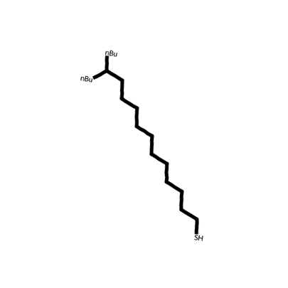 CCCCC(CCCC)CCCCCCCCCCCS